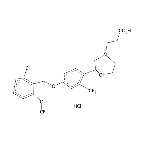 Cl.O=C(O)CCN1CCOC(c2ccc(OCc3c(Cl)cccc3OC(F)(F)F)cc2C(F)(F)F)C1